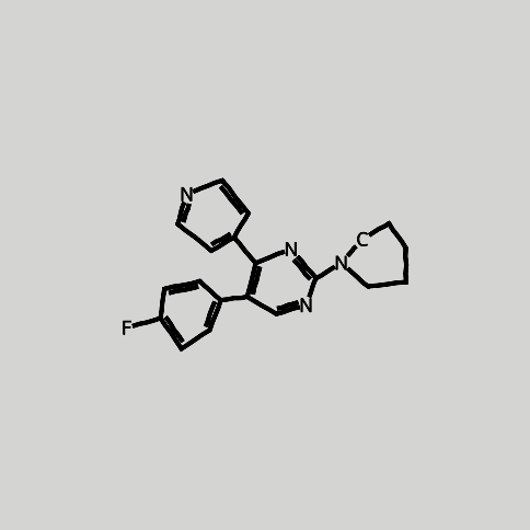 Fc1ccc(-c2cnc(N3CCCCC3)nc2-c2ccncc2)cc1